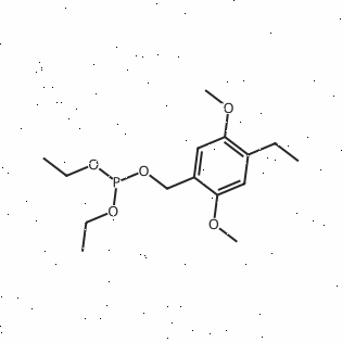 CCOP(OCC)OCc1cc(OC)c(CC)cc1OC